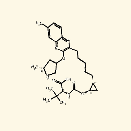 Cc1ccc2nc(CCCCC[C@@H]3C[C@H]3OC(=O)N[C@H](C(=O)O)C(C)(C)C)c(OC3CN[C@H](C)C3)nc2c1